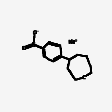 O=S([O-])c1ccc(C2CCCCCCC2)cc1.[Na+]